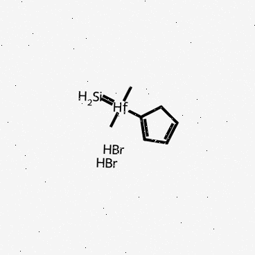 Br.Br.[CH3][Hf]([CH3])(=[SiH2])[C]1=CC=CC1